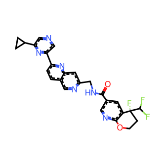 O=C(NCc1cc2nc(-c3cncc(C4CC4)n3)ccc2cn1)c1cnc2c(c1)[C@@](F)(C(F)F)CCO2